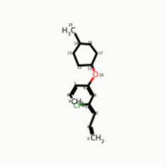 C=C/C=C(Cl)/C=C(\C=C/C)OC1CCC(C)CC1